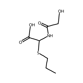 CCCSC(NC(=O)CO)C(=O)O